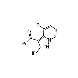 CC(C)C(=O)c1c(C(C)C)nn2cccc(F)c12